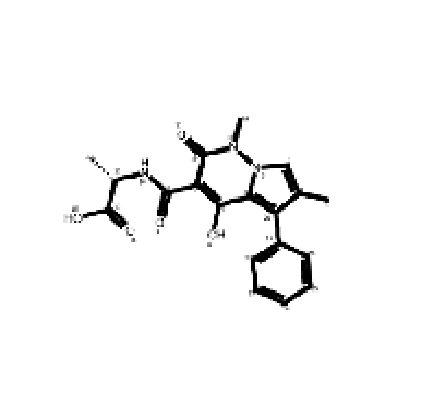 Cc1cn2c(c(O)c(C(=O)N[C@@H](C)C(=O)O)c(=O)n2C)c1-c1ccccc1